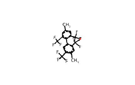 Cc1cc(C(F)(F)F)c(-c2cc(C(F)(F)F)c(C)cc2C(F)(F)F)c(C(F)(F)F)c1